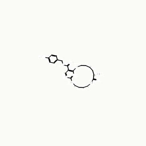 Cc1ccc(CNC(=O)c2cnc3nc2NCCCC[C@H](N)C(=O)NCCCCN3)cc1